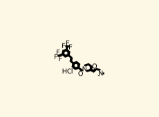 CN(C)Cc1cc2c(o1)CCN(C(=O)c1ccc(C=Cc3cc(C(F)(F)F)cc(C(F)(F)F)c3)cc1)C2.Cl